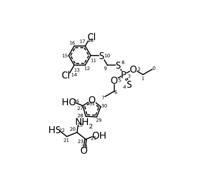 CCOP(=S)(OCC)SCSc1cc(Cl)ccc1Cl.NC(CS)C(=O)O.Oc1ccco1